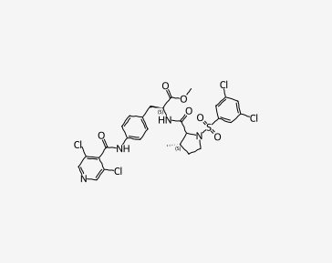 COC(=O)[C@H](Cc1ccc(NC(=O)c2c(Cl)cncc2Cl)cc1)NC(=O)C1[C@@H](C)CCN1S(=O)(=O)c1cc(Cl)cc(Cl)c1